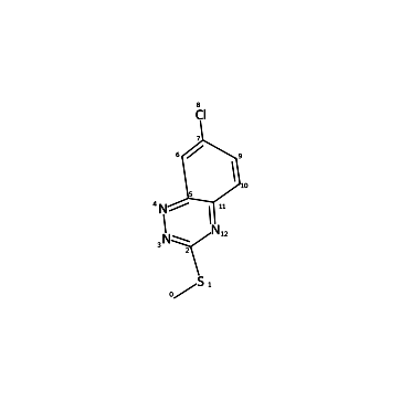 CSc1nnc2cc(Cl)ccc2n1